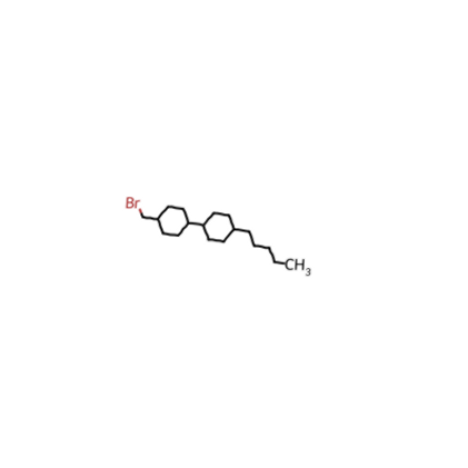 CCCCCC1CCC(C2CCC(CBr)CC2)CC1